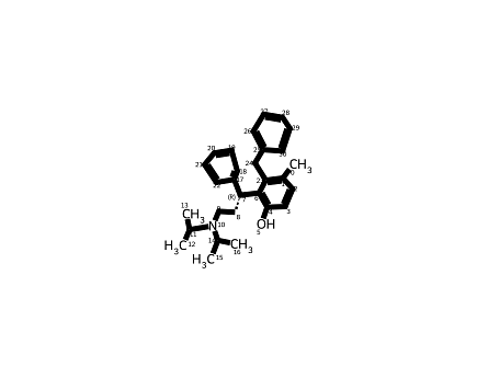 Cc1ccc(O)c([C@H](CCN(C(C)C)C(C)C)c2ccccc2)c1Cc1ccccc1